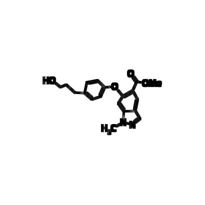 COC(=O)c1cc2cnn(C)c2cc1Oc1ccc(CCCO)cc1